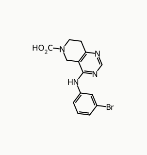 O=C(O)N1CCc2ncnc(Nc3cccc(Br)c3)c2C1